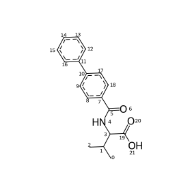 CC(C)C(NC(=O)c1ccc(-c2ccccc2)cc1)C(=O)O